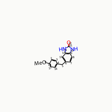 COc1ccc(Cc2ccc3[nH]c(=O)[nH]c3c2)cc1